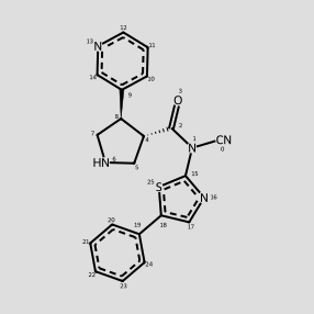 N#CN(C(=O)[C@@H]1CNC[C@H]1c1cccnc1)c1ncc(-c2ccccc2)s1